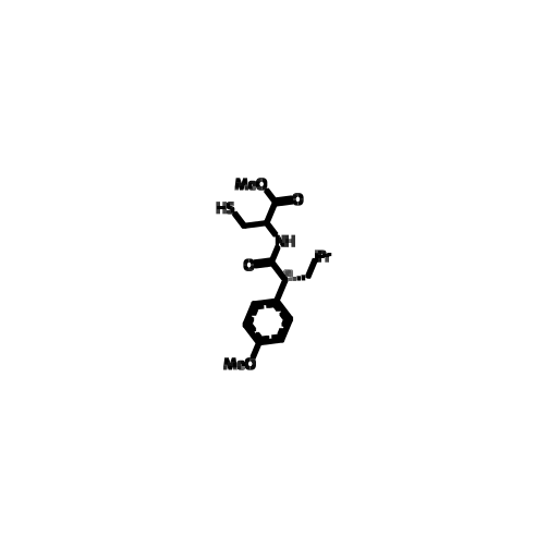 COC(=O)C(CS)NC(=O)[C@H](CC(C)C)c1ccc(OC)cc1